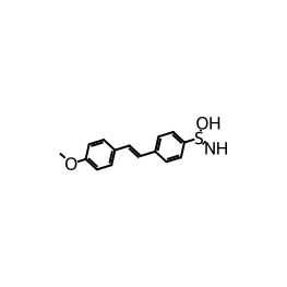 COc1ccc(C=Cc2ccc([S@@](=N)O)cc2)cc1